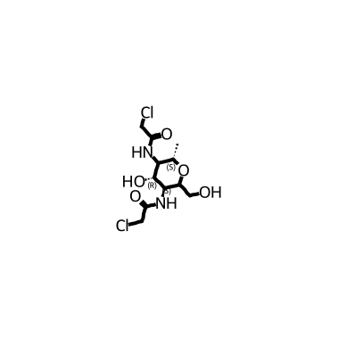 C[C@@H]1OC(CO)[C@@H](NC(=O)CCl)[C@H](O)C1NC(=O)CCl